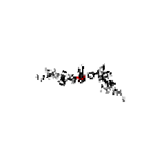 COC(=O)N[C@@H](C)C(=O)N1CCCC1c1ncc(-c2ccc(-c3ccc(-c4cnc(C5CCCN5C(=O)[C@@H](C)NC(=O)OC)n4N)cc3)c3c2C2CCC3N2c2ccccc2)[nH]1